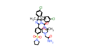 CCOc1cc(S(=O)(=O)N2CCCC2)ccc1C1=N[C@@](C)(c2ccc(Cl)cc2)[C@@](C)(c2ccc(Cl)cc2)N1C(=O)N1CCN(CC(N)=O)CC1